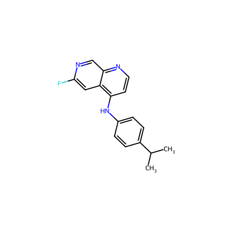 CC(C)c1ccc(Nc2ccnc3cnc(F)cc23)cc1